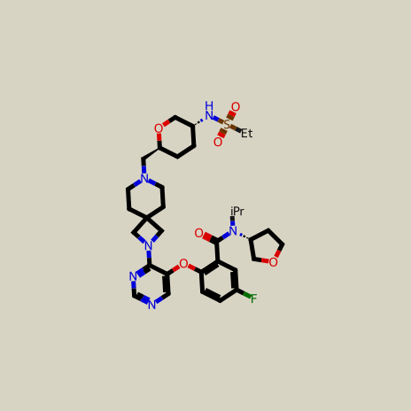 CCS(=O)(=O)N[C@@H]1CC[C@@H](CN2CCC3(CC2)CN(c2ncncc2Oc2ccc(F)cc2C(=O)N(C(C)C)[C@@H]2CCOC2)C3)OC1